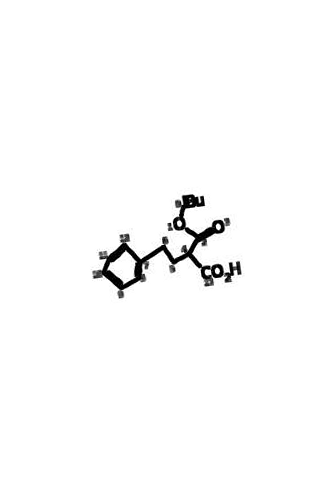 CCC(C)OC(=O)C(CCc1ccccc1)C(=O)O